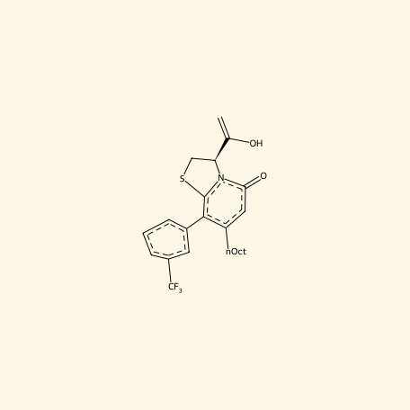 C=C(O)[C@@H]1CSc2c(-c3cccc(C(F)(F)F)c3)c(CCCCCCCC)cc(=O)n21